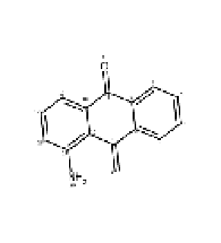 C=C1c2ccccc2C(=O)c2cccc(N)c21